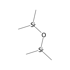 C[Si](C)O[Si](C)C